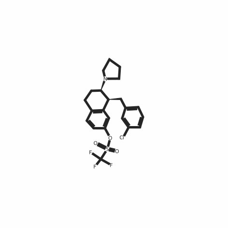 O=S(=O)(Oc1ccc2c(c1)[C@H](Cc1cccc(Cl)c1)[C@H](N1CCCC1)CC2)C(F)(F)F